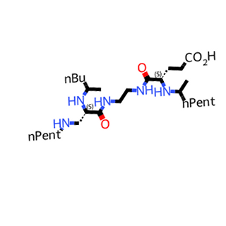 CCCCCNC[C@H](NC(C)CCCC)C(=O)NCCNC(=O)[C@H](CCC(=O)O)NC(C)CCCCC